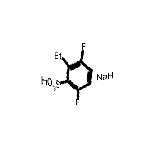 CCc1c(F)ccc(F)c1S(=O)(=O)O.[NaH]